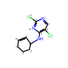 Clc1ncc(Cl)c(NC2C=CCCC2)n1